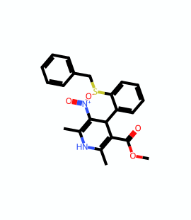 COC(=O)C1=C(C)NC(C)=C([N+](=O)[O-])C1c1ccccc1SCc1ccccc1